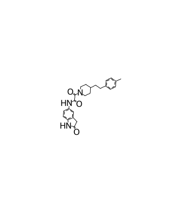 Cc1ccc(CCC2CCN(C(=O)C(=O)Nc3ccc4c(c3)CC(=O)N4)CC2)cc1